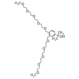 COCCOCCOCCOCCOCc1ccc(C(C)(C)O)cc1COCCOCCOCCOCCOC